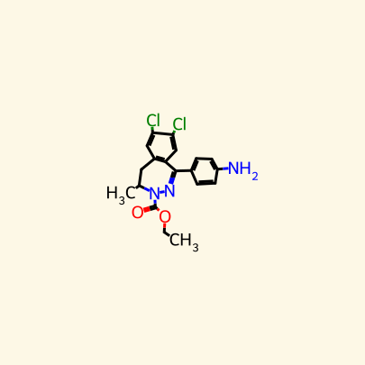 CCOC(=O)N1N=C(c2ccc(N)cc2)c2cc(Cl)c(Cl)cc2CC1C